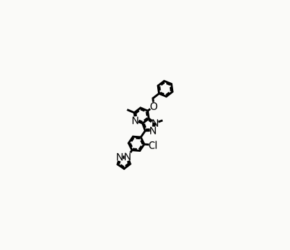 Cc1cc(OCc2ccccc2)c2c(n1)c(-c1ccc(-n3cccn3)cc1Cl)nn2C